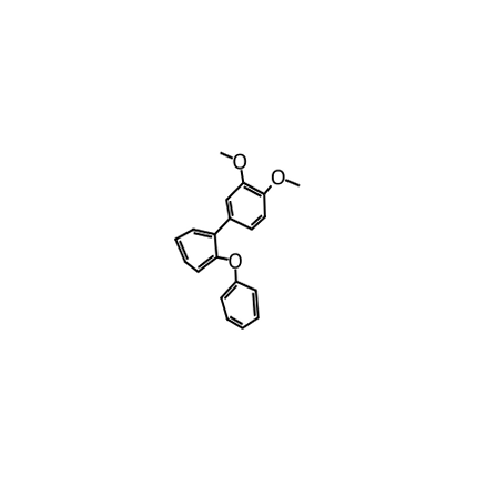 COc1ccc(-c2ccccc2Oc2ccccc2)cc1OC